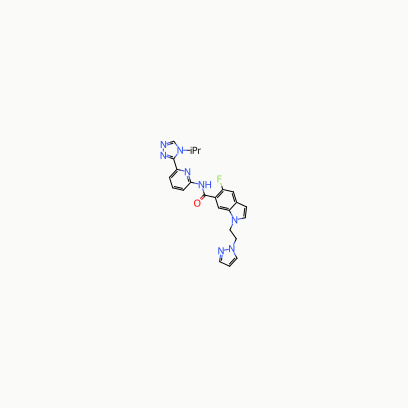 CC(C)n1cnnc1-c1cccc(NC(=O)c2cc3c(ccn3CCn3cccn3)cc2F)n1